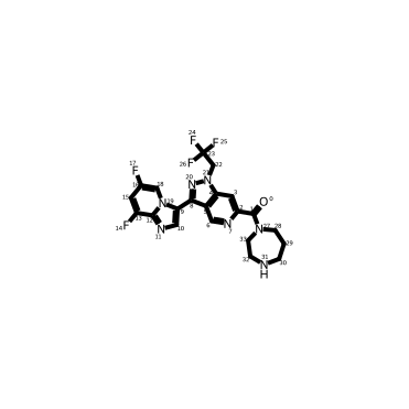 O=C(c1cc2c(cn1)c(-c1cnc3c(F)cc(F)cn13)nn2CC(F)(F)F)N1CCCNCC1